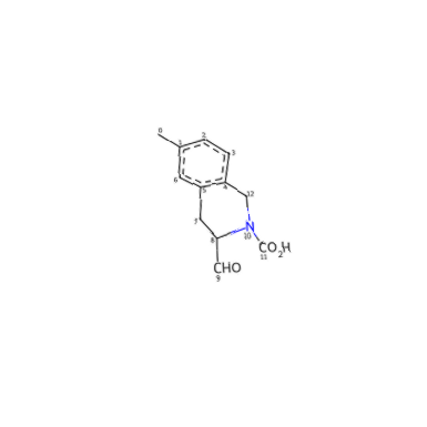 Cc1ccc2c(c1)CC(C=O)N(C(=O)O)C2